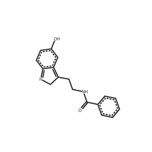 O=C(NCCC1=c2cc(O)ccc2=NC1)c1ccccc1